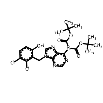 CC(C)(C)OC(=O)N(C(=O)OC(C)(C)C)c1ncnc2c1ncn2Cc1c(O)ccc(Cl)c1Cl